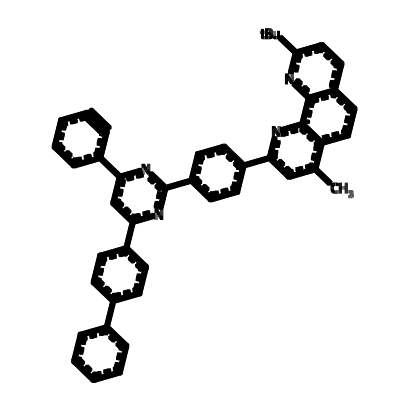 Cc1cc(-c2ccc(-c3nc(-c4c#cccc4)cc(-c4ccc(-c5ccccc5)cc4)n3)cc2)nc2c1ccc1ccc(C(C)(C)C)nc12